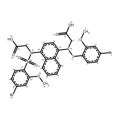 COc1cc(Br)ccc1SN(CC(=O)O)c1ccc(N(CC(=O)O)S(=O)(=O)c2ccc(Br)cc2OC)c2ccccc12